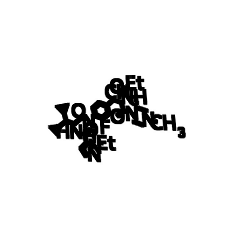 CCC(=O)N[C@@H](C(=O)N1CCN(C)CC1)[C@@H](C)c1ccc(NC(=O)[C@@H](NC(=O)c2ccnn2CC)C(C2CC2)C2CC2)c(F)c1